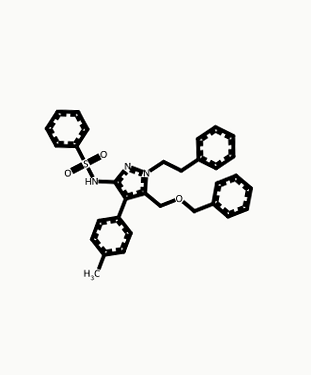 Cc1ccc(-c2c(NS(=O)(=O)c3ccccc3)nn(CCc3ccccc3)c2COCc2ccccc2)cc1